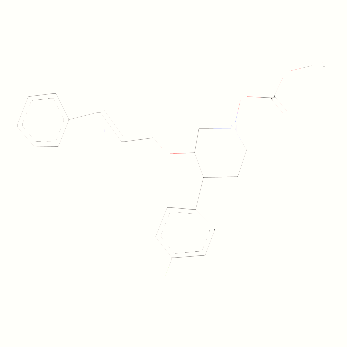 CC(C)(C)OC(=O)ON1CCC(c2ccc(F)cc2)C(OC/C=C/c2ccccc2)C1